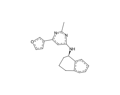 Cc1nc(N[C@@H]2CCCc3ccccc32)cc(-c2ccoc2)n1